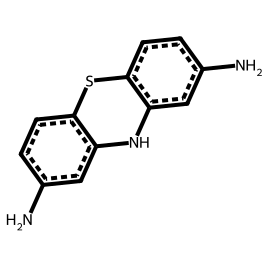 Nc1ccc2c(c1)Nc1cc(N)ccc1S2